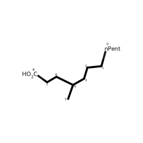 CCCCCCCCC(C)CCC(=O)O